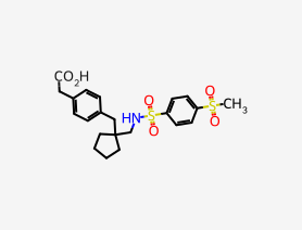 CS(=O)(=O)c1ccc(S(=O)(=O)NCC2(Cc3ccc(CC(=O)O)cc3)CCCC2)cc1